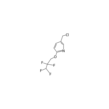 FC(F)C(F)(F)COc1ccc(CCl)cn1